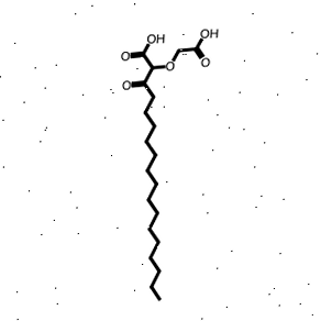 CCCCCCCCCCCCCCCC(=O)C(OCC(=O)O)C(=O)O